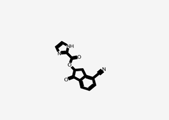 N#Cc1cccc2c1CC(OC(=O)c1ncc[nH]1)C2=O